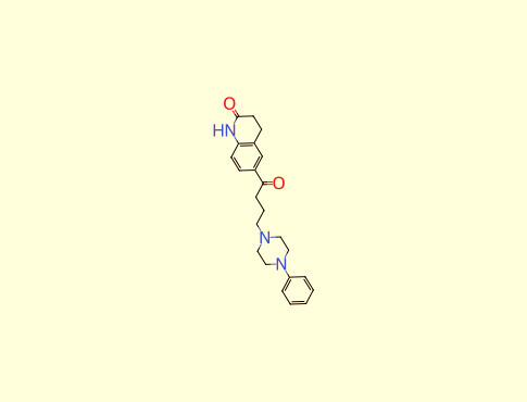 O=C1CCc2cc(C(=O)CCCN3CCN(c4ccccc4)CC3)ccc2N1